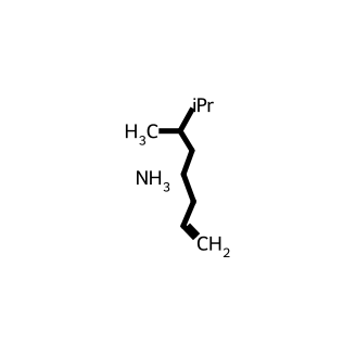 C=CCCCC(C)C(C)C.N